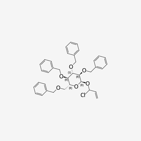 C=CC(Cl)O[C@H]1O[C@H](COCc2ccccc2)[C@@H](OCc2ccccc2)[C@H](OCc2ccccc2)[C@H]1OCc1ccccc1